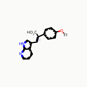 CCOc1ccc(/C(=C/c2c[nH]c3ncccc23)C(=O)O)cc1